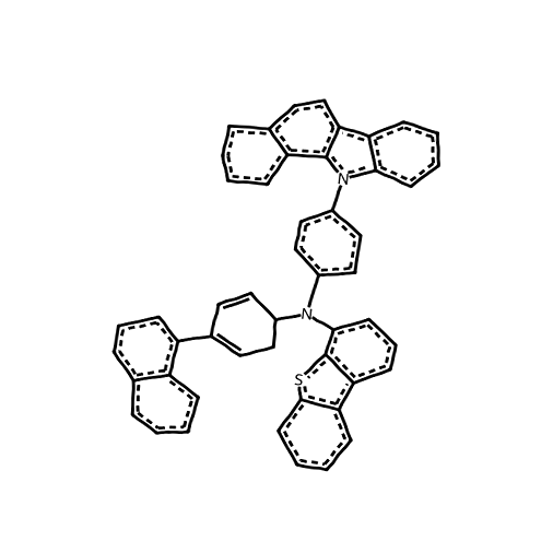 C1=CC(N(c2ccc(-n3c4ccccc4c4ccc5ccccc5c43)cc2)c2cccc3c2sc2ccccc23)CC=C1c1cccc2ccccc12